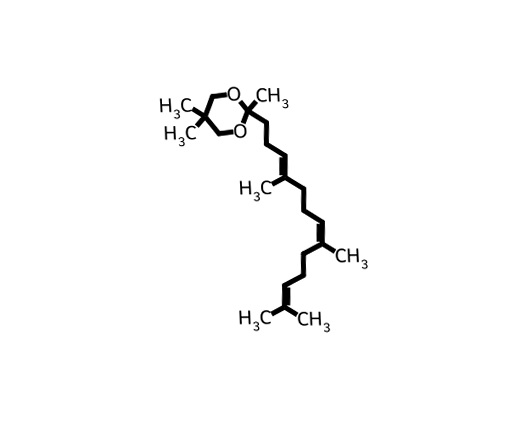 CC(C)=CCC/C(C)=C\CC/C(C)=C/CCC1(C)OCC(C)(C)CO1